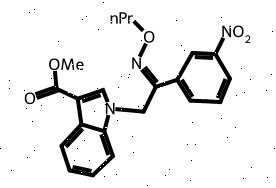 CCCON=C(Cn1cc(C(=O)OC)c2ccccc21)c1cccc([N+](=O)[O-])c1